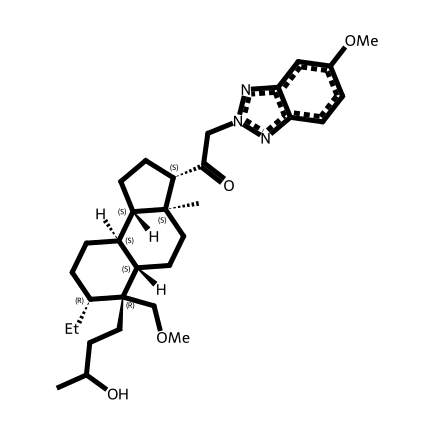 CC[C@@H]1CC[C@H]2[C@@H]3CC[C@H](C(=O)Cn4nc5ccc(OC)cc5n4)[C@@]3(C)CC[C@@H]2[C@]1(CCC(C)O)COC